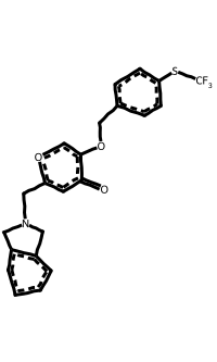 O=c1cc(CN2Cc3ccccc3C2)occ1OCc1ccc(SC(F)(F)F)cc1